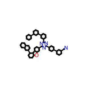 N#Cc1cccc(-c2ccc(-c3nc(-c4cccc(-c5cccc(-c6ccccc6)c5)c4)nc(-c4ccc5c(c4)oc4cccc(-c6ccc7ccccc7c6)c45)n3)cc2)c1